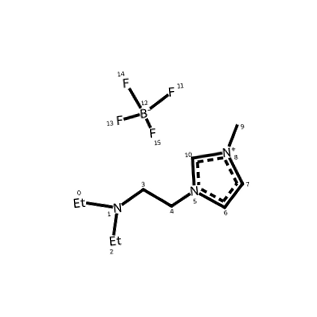 CCN(CC)CCn1cc[n+](C)c1.F[B-](F)(F)F